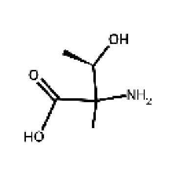 C[C@@H](O)C(C)(N)C(=O)O